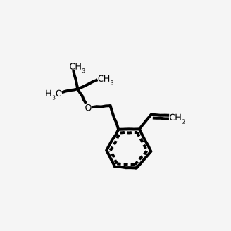 C=Cc1ccccc1COC(C)(C)C